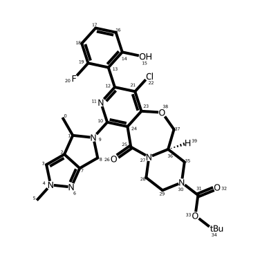 CC1c2cn(C)nc2CN1c1nc(-c2c(O)cccc2F)c(Cl)c2c1C(=O)N1CCN(C(=O)OC(C)(C)C)C[C@@H]1CO2